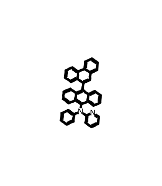 c1ccc(N(c2ccccn2)c2c3ccccc3c(-c3cc4ccccc4c4ccccc34)c3ccccc23)cc1